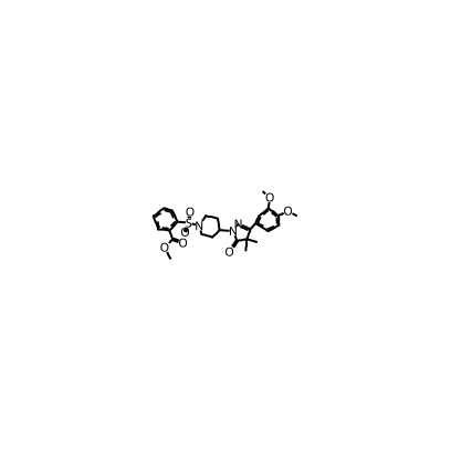 COC(=O)c1ccccc1S(=O)(=O)N1CCC(N2N=C(c3ccc(OC)c(OC)c3)C(C)(C)C2=O)CC1